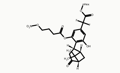 CCCCCCOC(=O)C(F)(F)c1cc(O)c([C@H]2CC(=O)[C@H]3C[C@@H]2C3(C)C)c(OC(=O)CCCO[N+](=O)[O-])c1